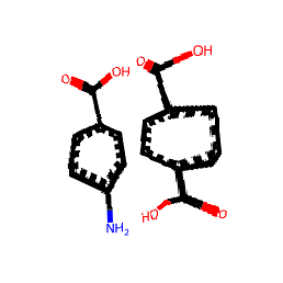 Nc1ccc(C(=O)O)cc1.O=C(O)c1ccc(C(=O)O)cc1